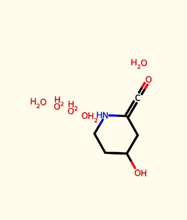 O.O.O.O.O.O=C=C1CC(O)CCN1